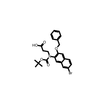 CC(C)(C)OC(=O)N(CCC(=O)O)c1cc2cc(Br)ccc2cc1OCc1ccccc1